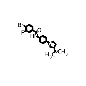 CN(C)C1CCN(c2ccc(NC(=O)c3ccc(Br)c(F)c3)cc2)C1